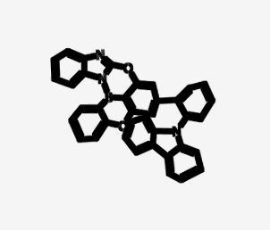 c1ccc2c(c1)Oc1cc(-c3ccccc3-n3c4ccccc4c4ccccc43)cc3c1B2n1c(nc2ccccc21)O3